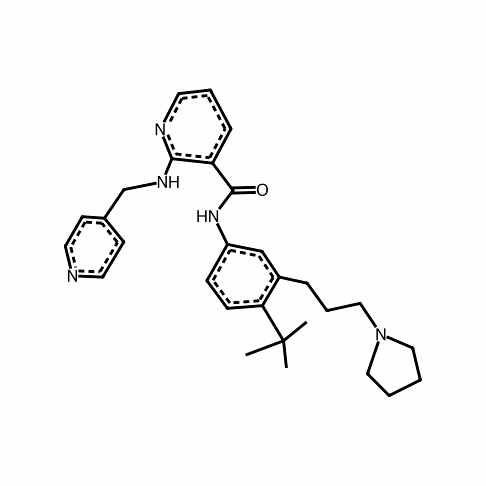 CC(C)(C)c1ccc(NC(=O)c2cccnc2NCc2ccncc2)cc1CCCN1CCCC1